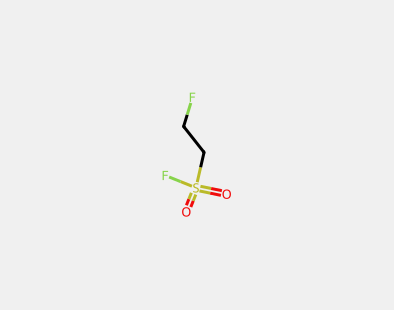 O=S(=O)(F)CCF